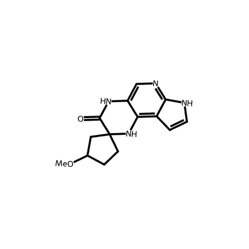 COC1CCC2(C1)Nc1c(cnc3[nH]ccc13)NC2=O